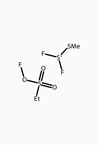 CCS(=O)(=O)OF.CS[S+](F)F